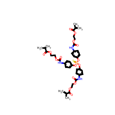 C=C(C)C(=O)OCCOC(=O)Nc1ccc(OP(=S)(Oc2ccc(NC(=O)OCCOC(=O)C(=C)C)cc2)Oc2ccc(NC(=O)OCCOC(=O)C(=C)C)cc2)cc1